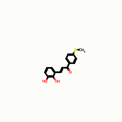 CSc1ccc(C(=O)C=Cc2cccc(O)c2O)cc1